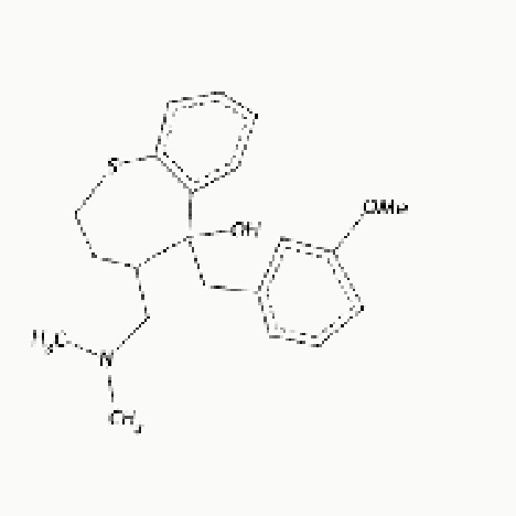 COc1cccc(CC2(O)c3ccccc3SCCC2CN(C)C)c1